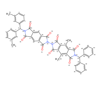 Cc1cccc(C(c2cccc(C)c2)n2c(=O)c3cc4c(=O)n(-n5c(=O)c6c(C)c7c(=O)n(C(c8ccccc8)c8ccccc8)c(=O)c7c(C)c6c5=O)c(=O)c4cc3c2=O)c1